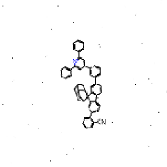 N#Cc1ccccc1-c1ccc2c(c1)C1(c3cc(-c4cccc(-c5cc(-c6ccccc6)nc(-c6ccccc6)c5)c4)ccc3-2)C2CC3CC(C2)CC1C3